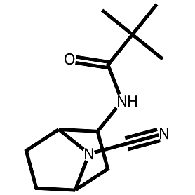 CC(C)(C)C(=O)NC1CC2CCC1N2C#N